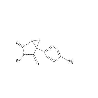 CC(C)N1C(=O)C2CC2(c2ccc(N)cc2)C1=O